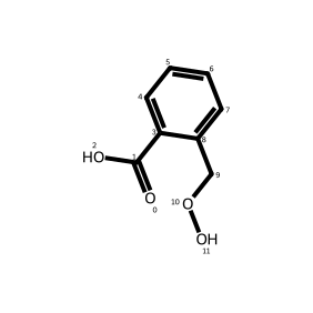 O=C(O)c1ccccc1COO